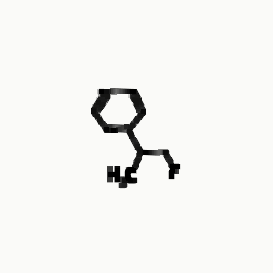 CC(CF)c1cc[c]cc1